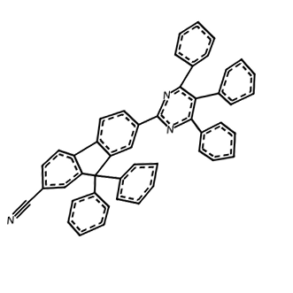 N#Cc1ccc2c(c1)C(c1ccccc1)(c1ccccc1)c1cc(-c3nc(-c4ccccc4)c(-c4ccccc4)c(-c4ccccc4)n3)ccc1-2